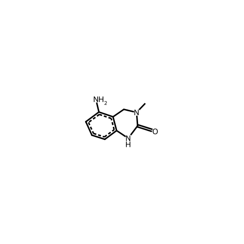 CN1Cc2c(N)cccc2NC1=O